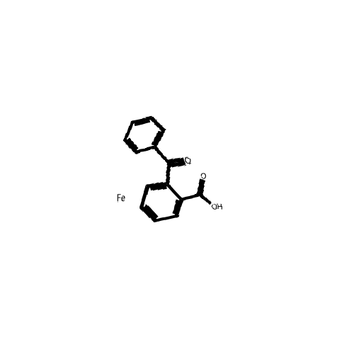 O=C(O)c1ccccc1C(=O)c1ccccc1.[Fe]